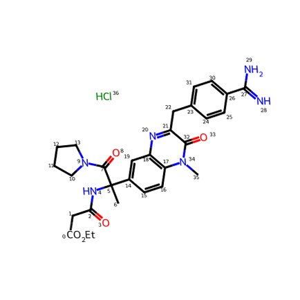 CCOC(=O)CC(=O)NC(C)(C(=O)N1CCCC1)c1ccc2c(c1)nc(Cc1ccc(C(=N)N)cc1)c(=O)n2C.Cl